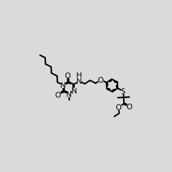 CCCCCCCn1c(=O)c(NCCCOc2ccc(SC(C)(C)C(=O)OCC)cc2)nn(C)c1=O